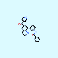 O=C(Nc1cccc(-c2cc(C(=O)c3ccncc3)cc3cccnc23)c1)c1ccccc1